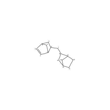 C1=CC2CC1CC2CC1CC2CCC1C2